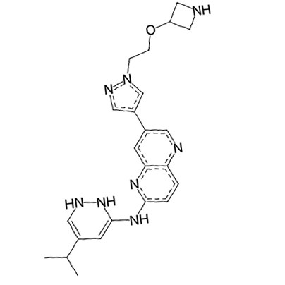 CC(C)C1=CNNC(Nc2ccc3ncc(-c4cnn(CCOC5CNC5)c4)cc3n2)=C1